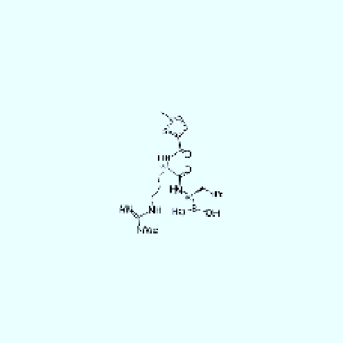 CNC(=N)NCCC[C@H](NC(=O)c1ccc(C)s1)C(=O)N[C@@H](CC(C)C)B(O)O